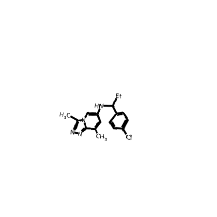 [CH2]CC(Nc1cc(C)c2nnc(C)n2c1)c1ccc(Cl)cc1